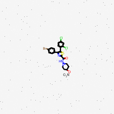 O=C(NN1CCC(O[N+](=O)[O-])CC1)c1nc(-c2ccc(Br)cc2)c(-c2ccc(Cl)cc2Cl)s1